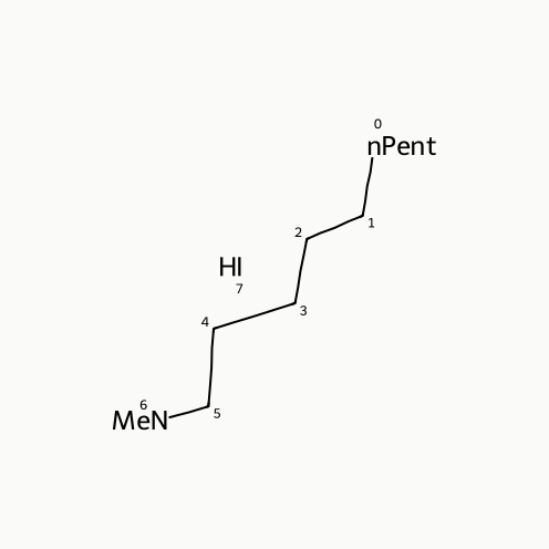 CCCCCCCCCCNC.I